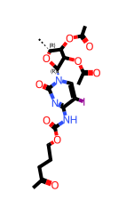 CC(=O)CCCOC(=O)Nc1nc(=O)n([C@@H]2O[C@H](C)C(OC(C)=O)C2OC(C)=O)cc1I